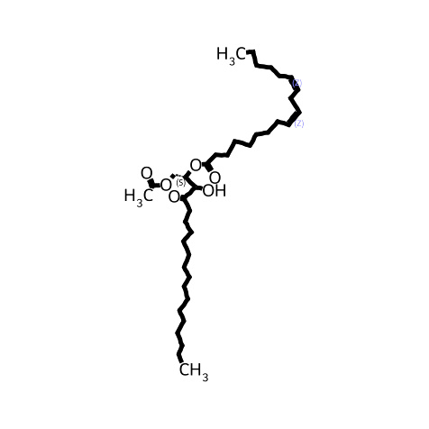 CCCCC/C=C\C/C=C\CCCCCCCC(=O)O[C@@H](COC(C)=O)C(O)C(=O)CCCCCCCCCCCCCCC